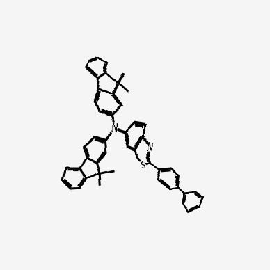 CC1(C)c2ccccc2-c2ccc(N(c3ccc4c(c3)C(C)(C)c3ccccc3-4)c3ccc4nc(-c5ccc(-c6ccccc6)cc5)sc4c3)cc21